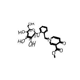 COC(=O)c1cn(Cc2ccccc2O[C@@H]2O[C@H](CO)[C@@H](O)[C@H](O)[C@H]2O)ccc1=O